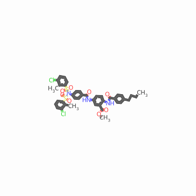 CCCCc1ccc(C(=O)Nc2ccc(NC(=O)c3ccc(N(S(=O)(=O)c4cccc(Cl)c4C)S(=O)(=O)c4cccc(Cl)c4C)cc3)cc2C(=O)OC)cc1